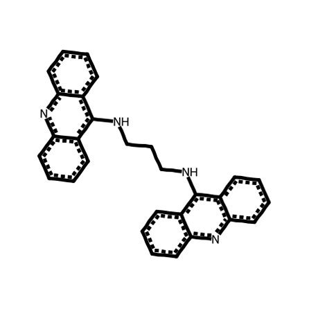 c1ccc2c(NCCCNc3c4ccccc4nc4ccccc34)c3ccccc3nc2c1